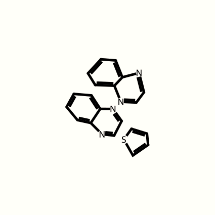 c1ccc2nccnc2c1.c1ccc2nccnc2c1.c1ccsc1